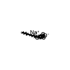 CCCCCCCCCCCCOc1ccc(S(=O)(=O)[O-])cc1.[Na+]